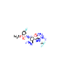 COc1ccc(F)cc1C(=O)NCc1ccc(-c2nn(C3CC(F)(F)C3)c(N)c2C(N)=O)c2cn[nH]c12